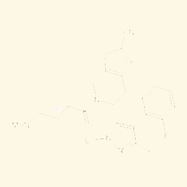 CCn1cc(-c2c(F)cccc2[C@@H]2CN(C(=O)/C=C/CNC)Cc3sc(C#N)cc32)c(C(F)(F)F)n1